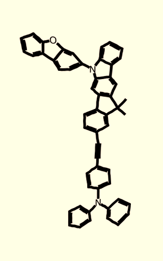 CC1(C)c2cc(C#Cc3ccc(N(c4ccccc4)c4ccccc4)cc3)ccc2-c2cc3c(cc21)c1ccccc1n3-c1ccc2c(c1)oc1ccccc12